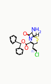 NC1C(=O)N2C(C(=O)OC(c3ccccc3)c3ccccc3)=C(/C=C/Cl)CS[C@@H]12